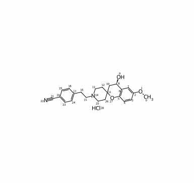 COc1ccc2c(c1)[C@H](O)CC1(CCN(CCc3ccc(C#N)cc3)CC1)O2.Cl